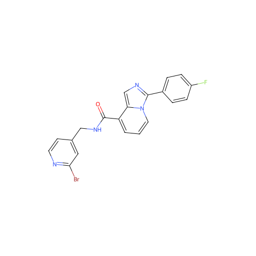 O=C(NCc1ccnc(Br)c1)c1cccn2c(-c3ccc(F)cc3)ncc12